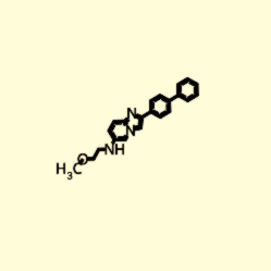 COCCNc1ccc2nc(-c3ccc(-c4ccccc4)cc3)cn2c1